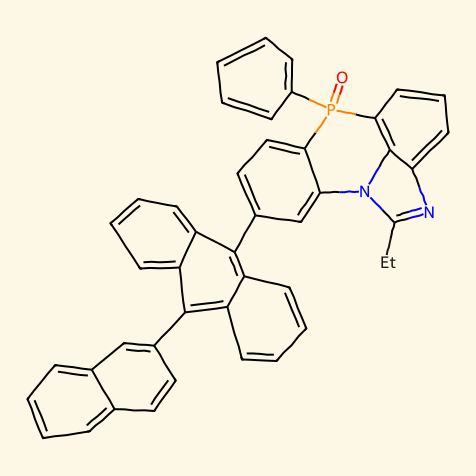 CCc1nc2cccc3c2n1-c1cc(-c2c4ccccc4c(-c4ccc5ccccc5c4)c4ccccc24)ccc1P3(=O)c1ccccc1